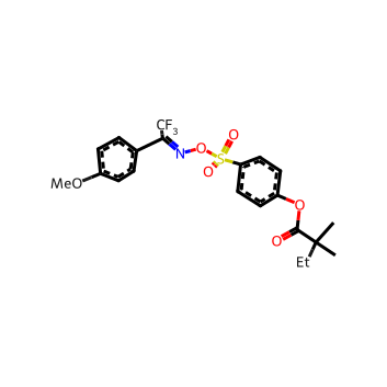 CCC(C)(C)C(=O)Oc1ccc(S(=O)(=O)O/N=C(/c2ccc(OC)cc2)C(F)(F)F)cc1